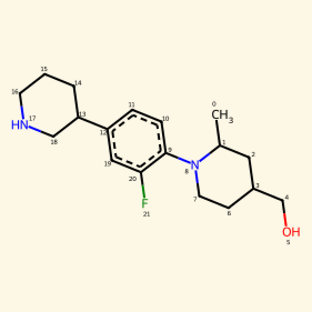 CC1CC(CO)CCN1c1ccc(C2CCCNC2)cc1F